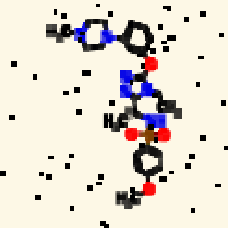 CCn1c(Oc2cccc(N3CCN(C)CC3)c2)nnc1[C@@H](C)NS(=O)(=O)c1ccc(OC)cc1